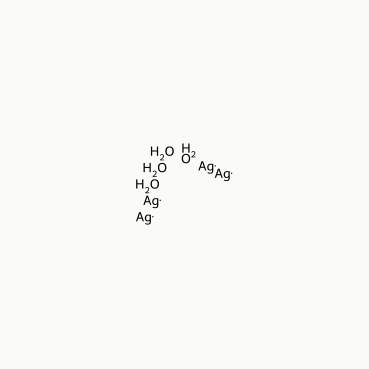 O.O.O.O.[Ag].[Ag].[Ag].[Ag]